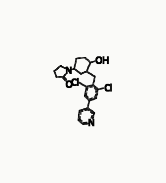 O=C1CCCN1C1CCC(O)C(Cc2c(Cl)cc(-c3cccnc3)cc2Cl)C1